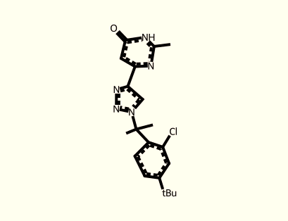 Cc1nc(-c2cn(C(C)(C)c3ccc(C(C)(C)C)cc3Cl)nn2)cc(=O)[nH]1